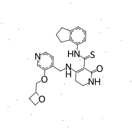 O=C1NCCC(NCc2ccncc2OCC2CCO2)=C1C(=S)Nc1cccc2c1CCC2